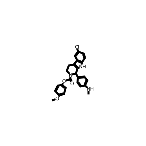 CNc1ccc(C2c3[nH]c4ccc(Cl)cc4c3CCN2C(=O)Oc2ccc(OC)cc2)cc1